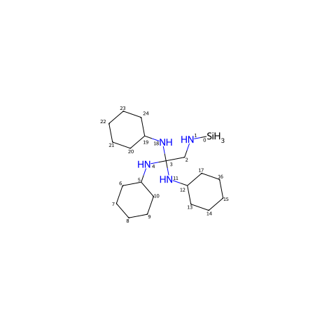 [SiH3]NCC(NC1CCCCC1)(NC1CCCCC1)NC1CCCCC1